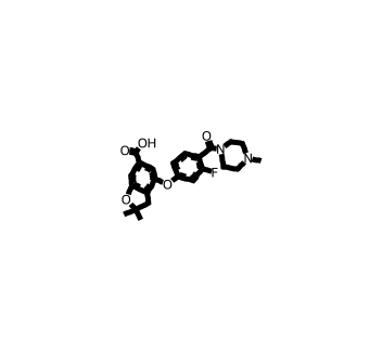 CN1CCN(C(=O)c2ccc(Oc3cc(C(=O)O)cc4c3CC(C)(C)O4)cc2F)CC1